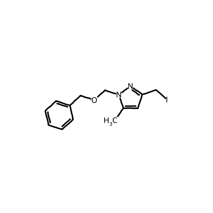 Cc1cc(CI)nn1COCc1ccccc1